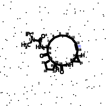 CC(C)N(C)C(=O)N[C@H]1CCCCC/C=C\[C@H]2CC2NC(=O)[C@@H]2CCCN2C1=O